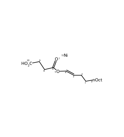 CCCCCCCCCCC=COC(=O)CCC(=O)O.[Ni]